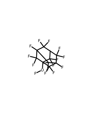 FOC12C(F)(F)[C]3C(F)(F)C(F)(C(F)(F)C(F)(C3(F)F)C1(F)F)C2(F)F